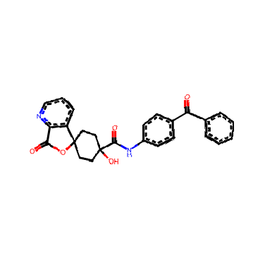 O=C(c1ccccc1)c1ccc(NC(=O)C2(O)CCC3(CC2)OC(=O)c2ncccc23)cc1